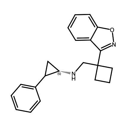 c1ccc(C2C[C@@H]2NCC2(c3noc4ccccc34)CCC2)cc1